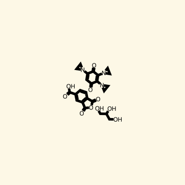 O=C(O)c1ccc2c(c1)C(=O)OC2=O.O=C1C=C(N2CC2)C(=O)C(N2CC2)=C1N1CC1.OCC(O)CO